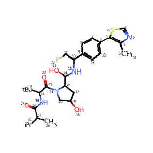 Cc1ncsc1-c1ccc(C(CF)NC(O)C2CC(O)CN2C(=O)C(NC(=O)C(C)C(C)C)C(C)(C)C)cc1